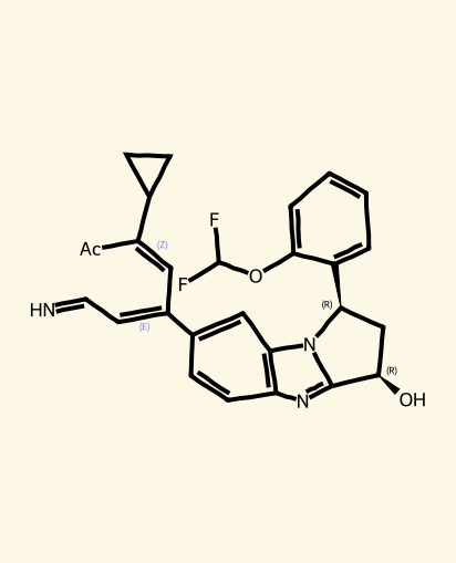 CC(=O)/C(=C\C(=C/C=N)c1ccc2nc3n(c2c1)[C@@H](c1ccccc1OC(F)F)C[C@H]3O)C1CC1